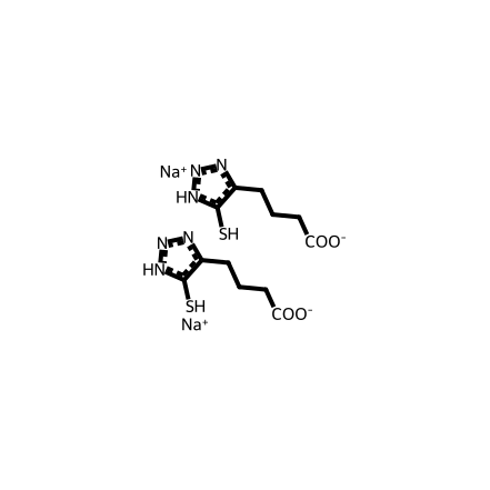 O=C([O-])CCCc1nn[nH]c1S.O=C([O-])CCCc1nn[nH]c1S.[Na+].[Na+]